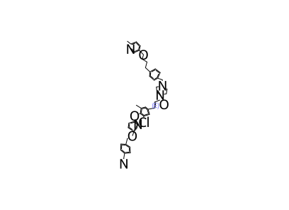 Cc1ccc(OCCCc2ccc(CN3CCN(C(=O)/C=C/c4cc(C)c(Oc5ccc(OCc6ccc(C#N)cc6)cn5)c(Cl)c4)CC3)cc2)cn1